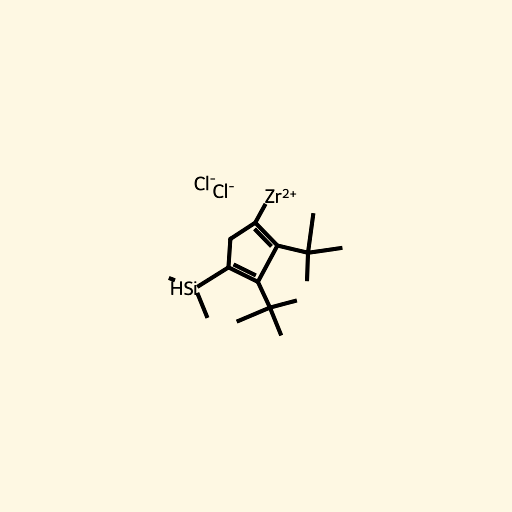 C[SiH](C)C1=C(C(C)(C)C)C(C(C)(C)C)=[C]([Zr+2])C1.[Cl-].[Cl-]